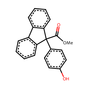 COC(=O)C1(c2ccc(O)cc2)c2ccccc2-c2ccccc21